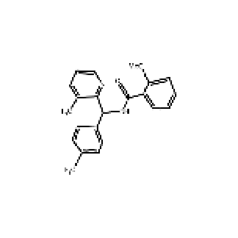 COc1ccccc1C(=O)NC(c1ccc(C(F)(F)F)cc1)c1ncccc1C(F)(F)F